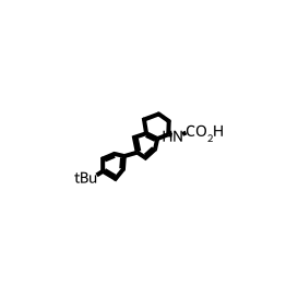 CC(C)(C)c1ccc(-c2ccc3c(c2)CCCC3NC(=O)O)cc1